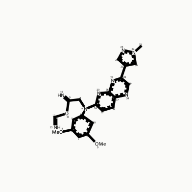 COc1cc(OC)cc(N(CC(=N)OC=N)c2ccc3ncc(-c4cnn(C)c4)nc3n2)c1